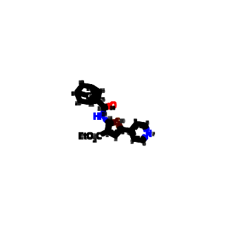 CCOC(=O)c1cc(-c2ccncc2)sc1NC(=O)C12CC3CC(CC1C3)C2